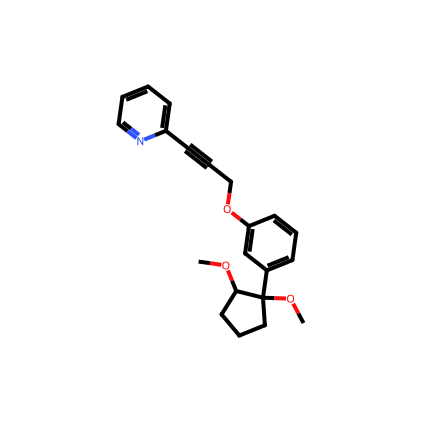 COC1CCCC1(OC)c1cccc(OCC#Cc2ccccn2)c1